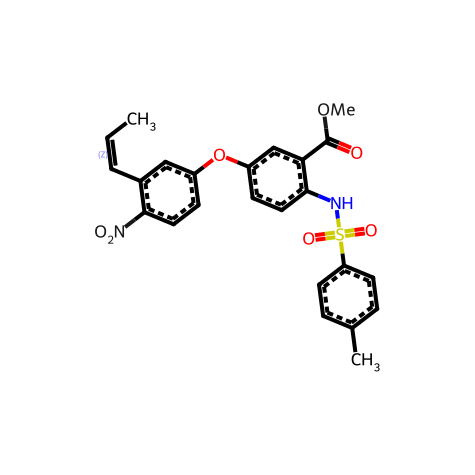 C/C=C\c1cc(Oc2ccc(NS(=O)(=O)c3ccc(C)cc3)c(C(=O)OC)c2)ccc1[N+](=O)[O-]